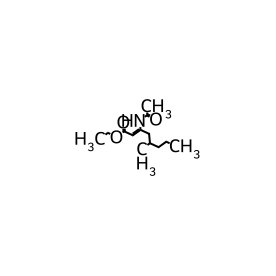 CCCC(C)CC(=CC(=O)OCC)NC(C)=O